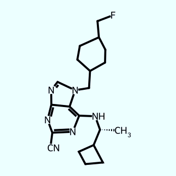 C[C@@H](Nc1nc(C#N)nc2ncn(CC3CCC(CF)CC3)c12)C1CCC1